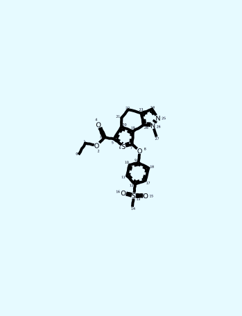 CCOC(=O)c1sc(Oc2ccc(S(C)(=O)=O)cc2)c2c1CCc1cnn(C)c1-2